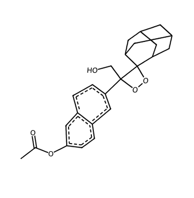 CC(=O)Oc1ccc2cc(C3(CO)OOC34C3CC5CC(C3)CC4C5)ccc2c1